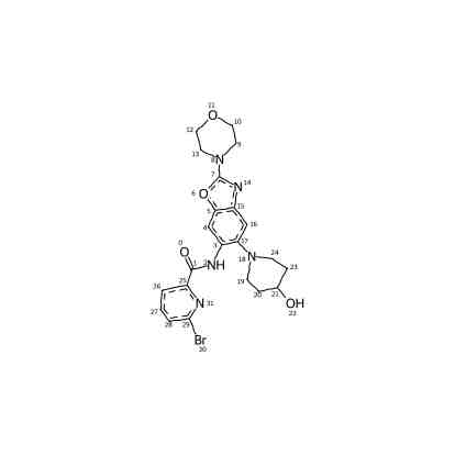 O=C(Nc1cc2oc(N3CCOCC3)nc2cc1N1CCC(O)CC1)c1cccc(Br)n1